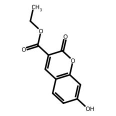 CCOC(=O)c1cc2ccc(O)cc2oc1=O